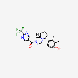 Cc1c(O)ccc([C@H]2CCC[C@H]3CN(C(=O)c4cnc(C(F)(F)F)nc4)CCN32)c1C